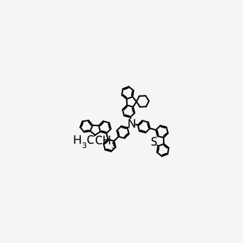 CC1(C)c2ccccc2-c2cccc(-c3ccccc3-c3ccc(N(c4ccc(-c5cccc6c5sc5ccccc56)cc4)c4ccc5c(c4)C4(CCCCC4)c4ccccc4-5)cc3)c21